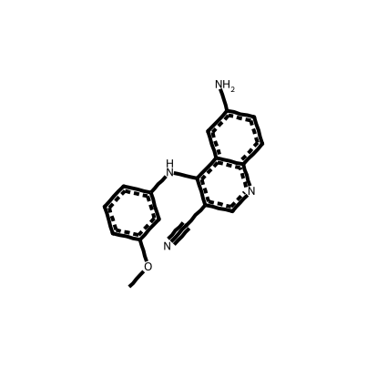 COc1cccc(Nc2c(C#N)cnc3ccc(N)cc23)c1